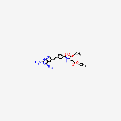 CCOC(=O)CC[C@H](NC(=O)c1ccc(/C=C/c2cnc3nc(N)nc(N)c3c2)cc1)C(=O)OCC